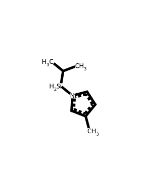 Cc1ccn([SiH2]C(C)C)c1